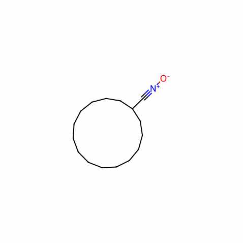 [O-][N+]#CC1CCCCCCCCCCCCCC1